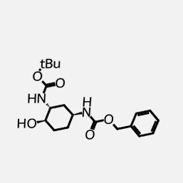 CC(C)(C)OC(=O)N[C@@H]1C[C@@H](NC(=O)OCc2ccccc2)CC[C@H]1O